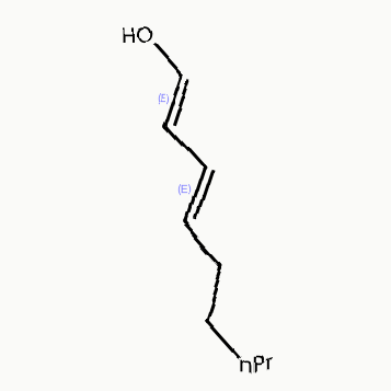 CCCCC/C=C/C=C/O